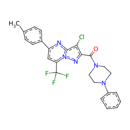 Cc1ccc(-c2cc(C(F)(F)F)n3nc(C(=O)N4CCN(c5ccccc5)CC4)c(Cl)c3n2)cc1